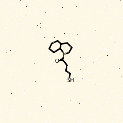 O=C(CCCS)N1CCCC2CCCCC21